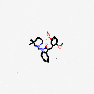 COc1ccc(OC)c(C=C2C(=O)N(CN3CCCC(C)(C)C3)c3ccccc32)c1